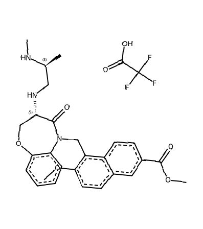 CN[C@@H](C)CN[C@H]1COc2ccccc2N(Cc2c(OC)ccc3cc(C(=O)OC)ccc23)C1=O.O=C(O)C(F)(F)F